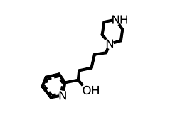 OC(CCCCN1CCNCC1)c1ccccn1